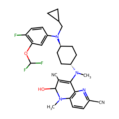 CN1c2ccc(C#N)nc2C(N(C)[C@H]2CC[C@H](N(CC3CC3)c3ccc(F)c(OC(F)F)c3)CC2)=C(C#N)C1O